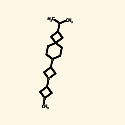 CC(C)C1CC2(CCN(C3CN(C4CN(C)C4)C3)CC2)C1